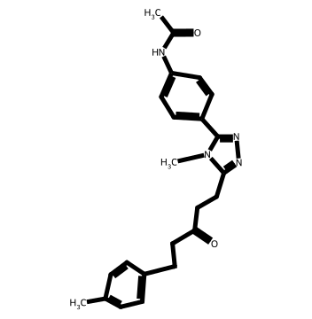 CC(=O)Nc1ccc(-c2nnc(CCC(=O)CCc3ccc(C)cc3)n2C)cc1